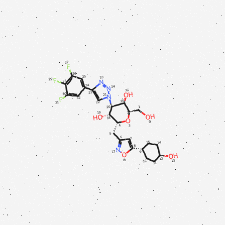 OC[C@H]1O[C@H](Cc2cc([C@H]3CC[C@H](O)CC3)on2)[C@H](O)[C@@H](n2cc(-c3cc(F)c(F)c(F)c3)nn2)[C@H]1O